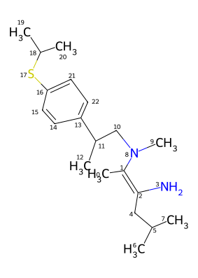 C/C(=C(/N)CC(C)C)N(C)CC(C)c1ccc(SC(C)C)cc1